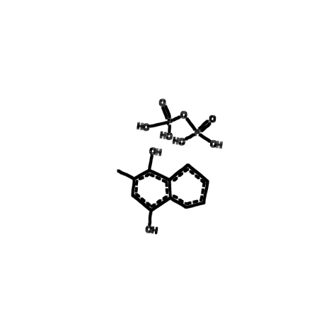 Cc1cc(O)c2ccccc2c1O.O=P(O)(O)OP(=O)(O)O